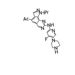 CC(=O)c1cc2cnc(Nc3cc(F)c(N4CCNCC4)cn3)nc2c2c1cnn2C(C)C